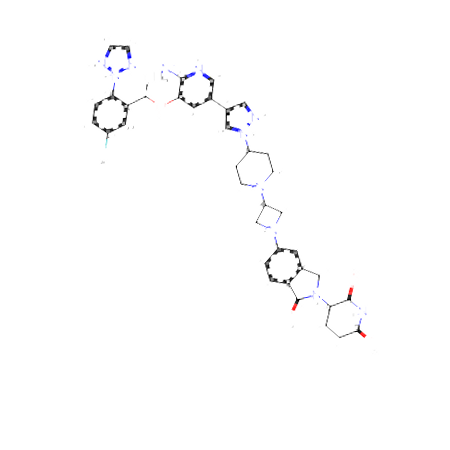 C[C@@H](Oc1cc(-c2cnn(C3CCN(C4CN(c5ccc6c(c5)CN(C5CCC(=O)NC5=O)C6=O)C4)CC3)c2)cnc1N)c1cc(F)ccc1-n1nccn1